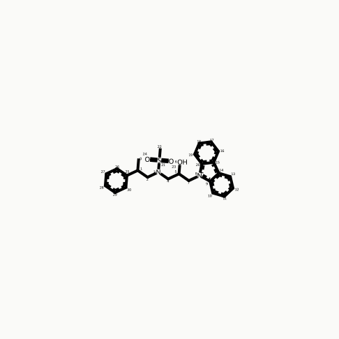 CC(CN(CC(O)Cn1c2ccccc2c2ccccc21)S(C)(=O)=O)c1ccccc1